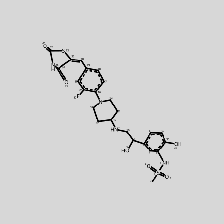 CS(=O)(=O)Nc1cc(C(O)CNC2CCN(c3ccc(/C=C4/SC(=O)NC4=O)cc3F)CC2)ccc1O